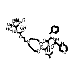 CC(C)C[C@@H](NC(=O)[C@H](Cc1ccccc1)NC(=O)c1cnccn1)B1OCCN(CCOC(=O)NC(P(=O)(O)O)P(=O)(O)O)CCO1